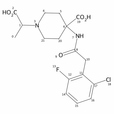 CC(C(=O)O)N1CCC(NC(=O)Cc2c(F)cccc2Cl)(C(=O)O)CC1